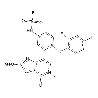 CCS(=O)(=O)Nc1ccc(Oc2ccc(F)cc2F)c(-c2cn(C)c(=O)c3cn(OC)nc23)c1